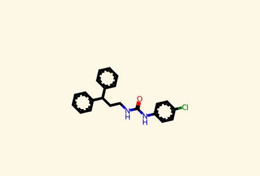 O=C(NCCC(c1ccccc1)c1ccccc1)Nc1ccc(Cl)cc1